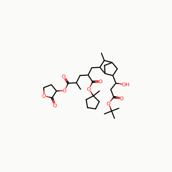 CC(CC(CC1C(C)C2CC(C(O)CC(=O)OC(C)(C)C)C1C2)C(=O)OC1(C)CCCC1)C(=O)OC1CCOC1=O